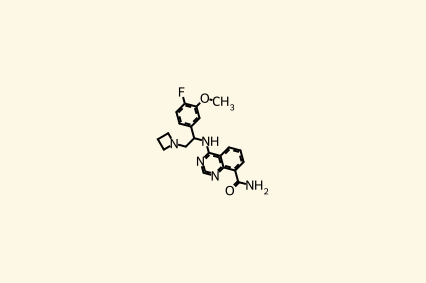 COc1cc(C(CN2CCC2)Nc2ncnc3c(C(N)=O)cccc23)ccc1F